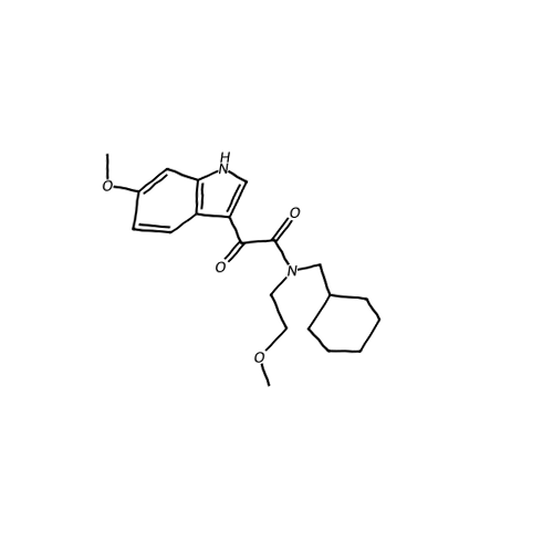 COCCN(CC1CCCCC1)C(=O)C(=O)c1c[nH]c2cc(OC)ccc12